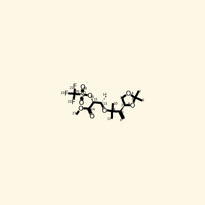 C=C([C@H]1COC(C)(C)O1)C(C)(C)O[C@@H](C)[C@@H](OS(=O)(=O)C(F)(F)F)C(=O)OC